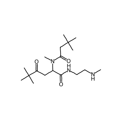 CNCCNC(=O)C(CC(=O)C(C)(C)C)N(C)C(=O)CC(C)(C)C